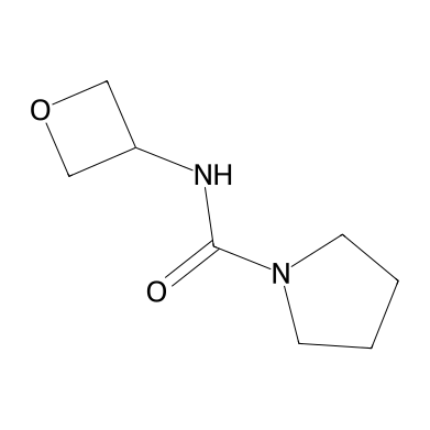 O=C(NC1COC1)N1CCCC1